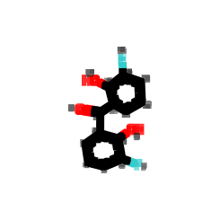 O=C(c1cccc(F)c1O)c1cccc(F)c1O